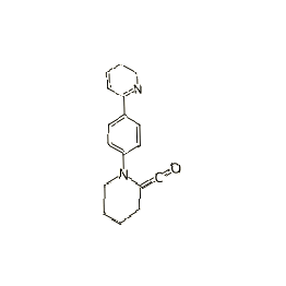 O=C=C1CCCCN1c1ccc(C2=NCCC=C2)cc1